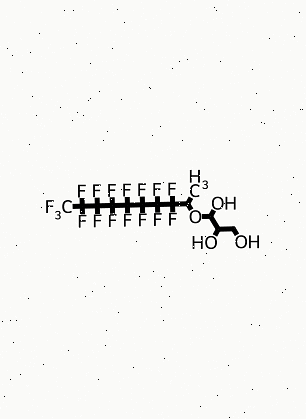 CC(OC(O)C(O)CO)C(F)(F)C(F)(F)C(F)(F)C(F)(F)C(F)(F)C(F)(F)C(F)(F)C(F)(F)F